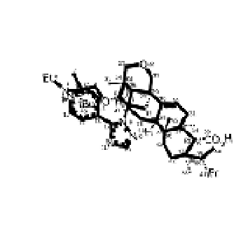 CCN[C@@](C)(CO[C@H]1[C@H](n2ncnc2-c2ccncc2)C[C@@]23COC[C@]1(C)[C@@H]2CC[C@H]1C3=CC[C@@]2(C)[C@H](C(=O)O)[C@@](C)([C@H](C)C(C)C)CC[C@]12C)C(C)(C)C